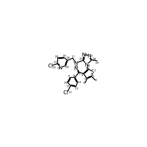 Cc1sc2c(c1C)C(c1ccc(Cl)cc1)=NN(Cc1ccc(Cl)nc1)c1nnc(C)n1-2